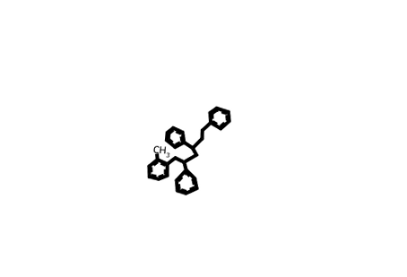 Cc1ccccc1CC(CC(CCc1ccccc1)c1ccccc1)c1ccccc1